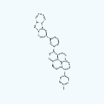 Cc1ccc(-c2ccc3ccc4c(-c5cccc(-c6ccc7c(c6)C6C=CC=CC6O7)c5)ccc5ccc2c3c54)cc1